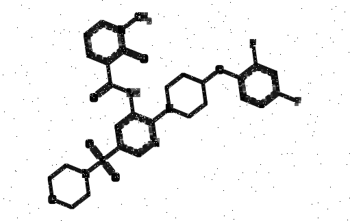 Cn1cccc(C(=O)Nc2cc(S(=O)(=O)N3CCOCC3)cnc2N2CCC(Oc3ccc(F)cc3F)CC2)c1=O